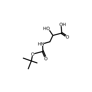 CC(C)(C)OC(=O)NCC(O)C(=O)O